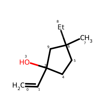 C=CC1(O)CCC(C)(CC)C1